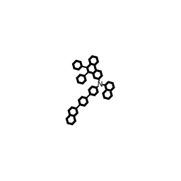 c1ccc(-c2c(-c3ccccc3)c3cc(N(c4ccc(-c5ccc(-c6ccc7ccccc7c6)cc5)cc4)c4cccc5ccccc45)ccc3c3ccccc23)cc1